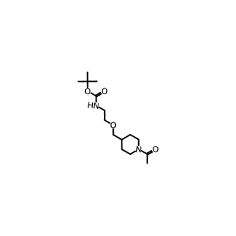 CC(=O)N1CCC(COCCNC(=O)OC(C)(C)C)CC1